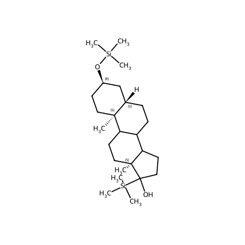 C[C@]12CCC3C(CC[C@H]4C[C@H](O[Si](C)(C)C)CC[C@]34C)C1CCC2(O)[Si](C)(C)C